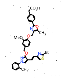 CCc1nc(/C=C/c2cn(-c3ccccc3C)nc2OCc2ccc(OCc3nc(-c4ccc(CC(=O)O)cc4)oc3C)c(OC)c2)cs1